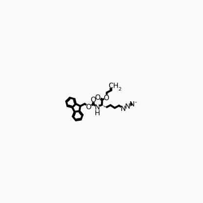 C=CCOC(=O)[C@H](CCCCN=[N+]=[N-])NC(=O)OCC1c2ccccc2-c2ccccc21